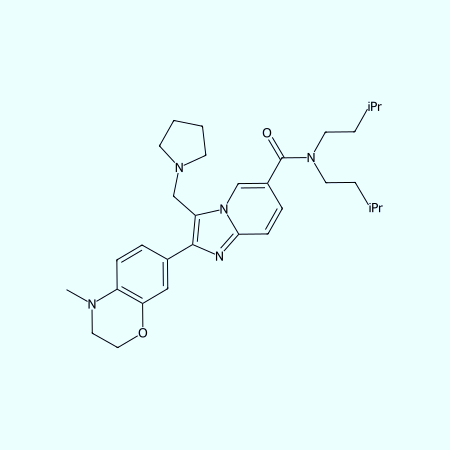 CC(C)CCN(CCC(C)C)C(=O)c1ccc2nc(-c3ccc4c(c3)OCCN4C)c(CN3CCCC3)n2c1